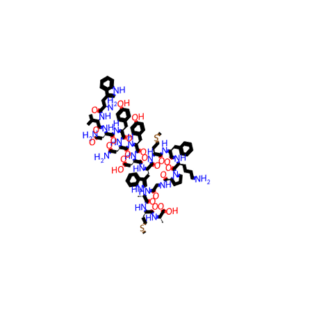 CSCC[C@H](NC(=O)[C@H](C)NC(=O)CNC(=O)[C@@H]1CCCN1C(=O)[C@H](CCCCN)NC(=O)[C@H](Cc1ccccc1)NC(=O)[C@H](CCSC)NC(=O)[C@H](Cc1c[nH]c2ccccc12)NC(=O)[C@H](CC(=O)O)NC(=O)[C@H](Cc1ccc(O)cc1)NC(=O)[C@H](CC(N)=O)NC(=O)[C@H](Cc1ccc(O)cc1)NC(=O)[C@H](CC(N)=O)NC(=O)[C@@H](NC(=O)[C@@H](N)Cc1c[nH]c2ccccc12)C(C)C)C(=O)N[C@@H](C)C(=O)O